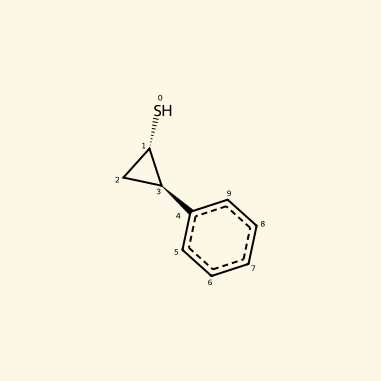 S[C@H]1C[C@@H]1c1ccccc1